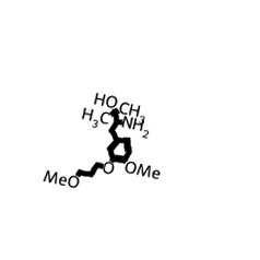 COCCCOc1cc(CC(N)C(C)(C)O)ccc1OC